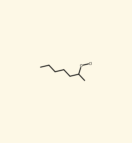 CCCCCC(C)OCl